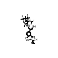 CC(=O)N(C(=O)c1cc(/C(C=N)=C/Nc2c(OC(F)F)c(C(C)(C(C)(F)F)C(C)(F)F)nn2C)ccc1Cl)C1(C#N)CC1